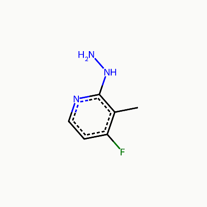 Cc1c(F)ccnc1NN